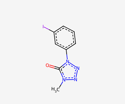 Cn1nnn(-c2cccc(I)c2)c1=O